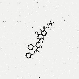 Cc1c(NC(=O)OC(C)(C)C)ccc2nc(NCC(C(=O)N(C)CCc3ccncc3)C3CCCCC3)oc(=O)c12